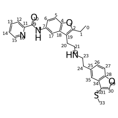 CCc1oc2ccc(NC(=O)c3ccccn3)cc2c1CCNCCc1ccc2occ(SC)c2c1